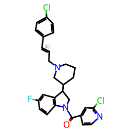 O=C(c1ccnc(Cl)c1)N1CC(C2CCCN(C/C=C/c3ccc(Cl)cc3)C2)c2cc(F)ccc21